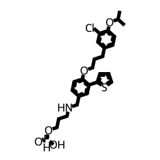 CC(C)Oc1ccc(CCCOc2ccc(CNCCCO[PH](=O)O)cc2-c2cccs2)cc1Cl